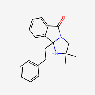 CC1(C)CN2C(=O)c3ccccc3C2(CCc2ccccc2)N1